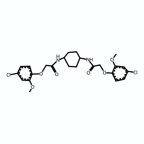 COc1cc(Cl)ccc1OCC(=O)NC1CCC(NC(=O)COc2ccc(Cl)cc2OC)CC1